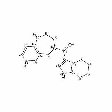 O=C(c1n[nH]c2c1CCCC2)N1CCOc2ccncc2C1